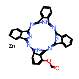 O=COc1cccc2c3nc4nc(nc5[nH]c(nc6nc(nc([nH]3)c12)-c1ccccc1-6)c1ccccc51)-c1ccccc1-4.[Zn]